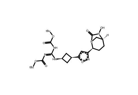 CC(C)(C)OC(=O)/N=C(/NC(=O)OC(C)(C)C)N[C@H]1C[C@@H](c2cc([C@@H]3CC[C@H]4CN3C(=O)N4O)no2)C1